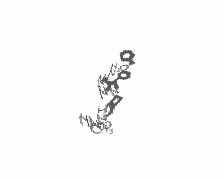 CNC(=O)NCC1CC(n2cc(-c3cccc(OCc4ccccc4)c3)c3c(N)ncnc32)C1